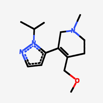 COCC1=C(c2ccnn2C(C)C)CN(C)CC1